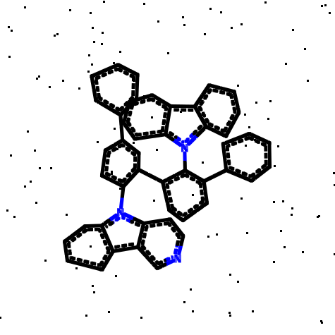 c1ccc(-c2ccc(-n3c4ccccc4c4cnccc43)c(-c3cccc(-c4ccccc4)c3-n3c4ccccc4c4ccccc43)c2)cc1